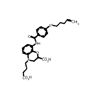 C=CCCCOc1ccc(C(=O)Nc2cccc3c2OC(C(=O)O)CN3CCCC(=O)O)cc1